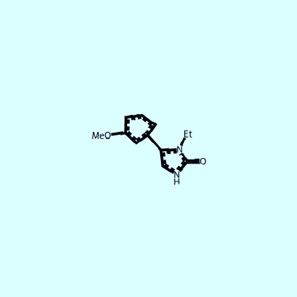 CCn1c(-c2cccc(OC)c2)c[nH]c1=O